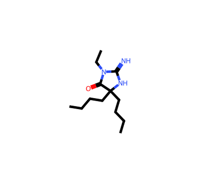 CCCCC1(CCCC)NC(=N)N(CC)C1=O